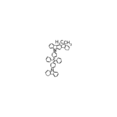 CC1(C)C2=C(CCC=C2)c2cc3c(cc21)c1ccccc1n3-c1ccc(S(c2ccccc2)(c2ccccc2)c2ccc(-n3c4c(c5ccccc53)CCC=C4)cc2)cc1